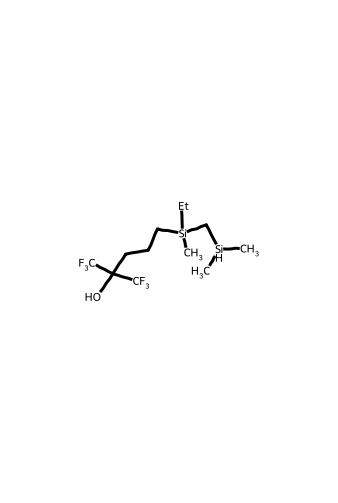 CC[Si](C)(CCCC(O)(C(F)(F)F)C(F)(F)F)C[SiH](C)C